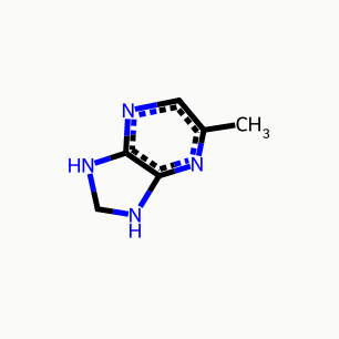 Cc1cnc2c(n1)NCN2